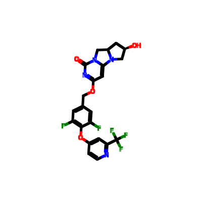 O=c1nc(OCc2cc(F)c(Oc3ccnc(C(F)(F)F)c3)c(F)c2)cc2n1CC1C[C@@H](O)CN21